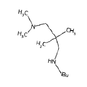 CCC(C)NCC(C)(C)CN(C)C